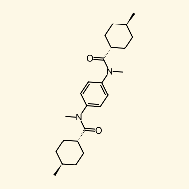 CN(c1ccc(N(C)C(=O)[C@H]2CC[C@H](C)CC2)cc1)C(=O)[C@H]1CC[C@H](C)CC1